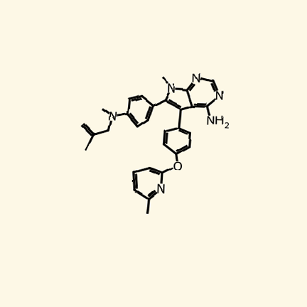 C=C(C)CN(C)c1ccc(-c2c(-c3ccc(Oc4cccc(C)n4)cc3)c3c(N)ncnc3n2C)cc1